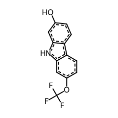 Oc1ccc2c(c1)[nH]c1cc(OC(F)(F)F)ccc12